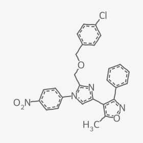 Cc1onc(-c2ccccc2)c1-c1cn(-c2ccc([N+](=O)[O-])cc2)c(COCc2ccc(Cl)cc2)n1